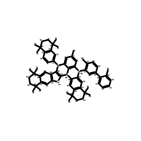 Cc1cc2c3c(c1)N(c1ccc4c(c1)C(C)(C)CCC4(C)C)c1c(oc4cc5c(cc14)C(C)(C)CCC5(C)C)B3c1cc3c(cc1N2c1cc(-c2ccccc2C)ccc1C)C(C)(C)CCC3(C)C